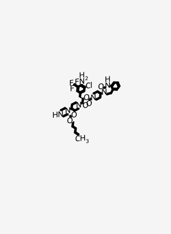 CCCCCCOC(=O)[C@@H]1CNCCN1C1CCN(C(=O)[C@@H](Cc2cc(Cl)c(N)c(C(F)(F)F)c2)OC(=O)N2CCC(N3CCc4ccccc4NC3=O)CC2)CC1